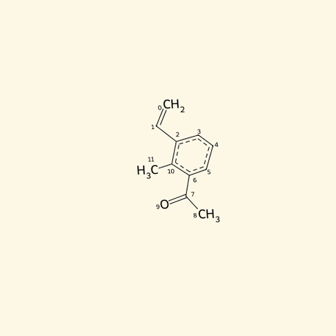 C=Cc1cccc(C(C)=O)c1C